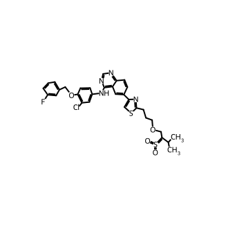 CC(C)C(COCCCc1nc(-c2ccc3ncnc(Nc4ccc(OCc5cccc(F)c5)c(Cl)c4)c3c2)cs1)=S(=O)=O